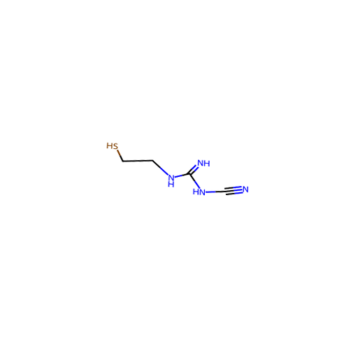 N#CNC(=N)NCCS